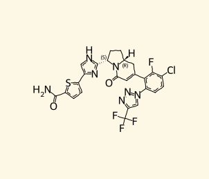 NC(=O)c1ccc(-c2c[nH]c([C@@H]3CC[C@@H]4CC(c5c(-n6cc(C(F)(F)F)nn6)ccc(Cl)c5F)=CC(=O)N43)n2)s1